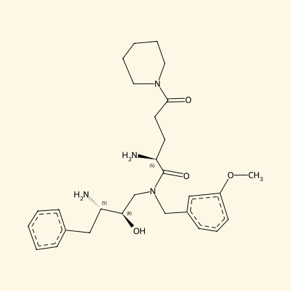 COc1cccc(CN(C[C@@H](O)[C@@H](N)Cc2ccccc2)C(=O)[C@@H](N)CCC(=O)N2CCCCC2)c1